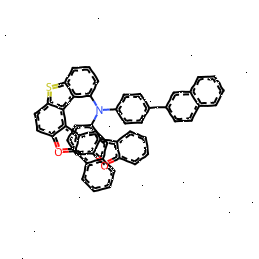 c1ccc2cc(-c3ccc(N(c4cccc5oc6ccccc6c45)c4cccc5sc6ccc7oc8c9ccccc9ccc8c7c6c45)cc3)ccc2c1